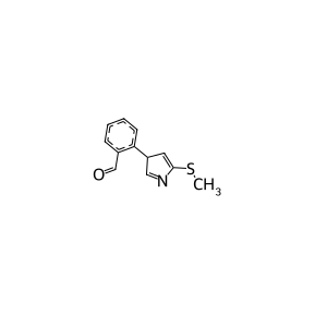 CSC1=CC(c2ccccc2C=O)C=N1